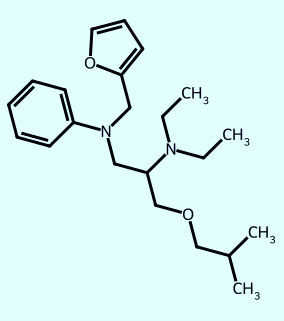 CCN(CC)C(COCC(C)C)CN(Cc1ccco1)c1ccccc1